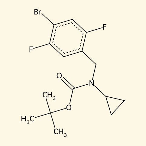 CC(C)(C)OC(=O)N(Cc1cc(F)c(Br)cc1F)C1CC1